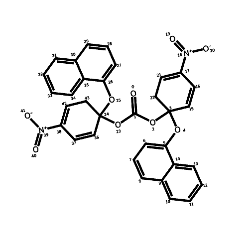 O=C(OC1(Oc2cccc3ccccc23)C=CC([N+](=O)[O-])=CC1)OC1(Oc2cccc3ccccc23)C=CC([N+](=O)[O-])=CC1